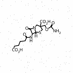 NC(=O)OCC1(C(=O)O)CS[C@@H]2C(NC(=O)CCCCC(=O)O)C(=O)N2C1